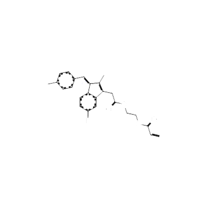 C=CC(=O)OCCOC(=O)CC1=C(C)/C(=C/c2ccc(C)cc2)c2ccc(F)cc21